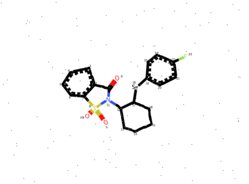 O=C1c2ccccc2S(=O)(=O)N1C1CCCCC1[Se]c1ccc(F)cc1